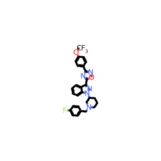 Fc1ccc(CN2CCCC(n3nc(-c4nc(-c5ccc(OC(F)(F)F)cc5)no4)c4ccccc43)C2)cc1